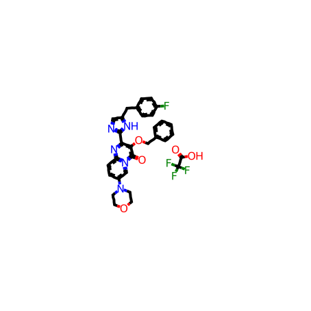 O=C(O)C(F)(F)F.O=c1c(OCc2ccccc2)c(-c2ncc(Cc3ccc(F)cc3)[nH]2)nc2ccc(N3CCOCC3)cn12